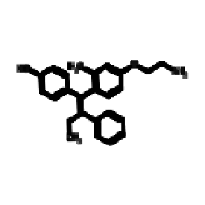 CC/C(=C(\c1ccc(O)cc1)c1ccc(OCCN)cc1C)c1ccccc1